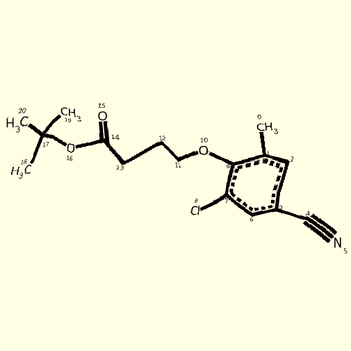 Cc1cc(C#N)cc(Cl)c1OCCCC(=O)OC(C)(C)C